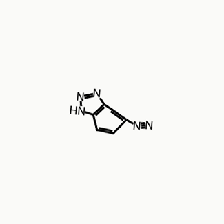 N#[N+]c1ccc2[nH]nnc2c1